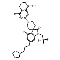 CN1CCCc2c1nc(N1CCC3(CC1)C(=O)N(CC(F)(F)F)c1cc(OCCN4CCCC4)cc(F)c13)[nH]c2=O